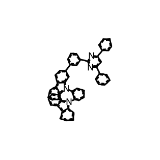 c1ccc(-c2cc(-c3ccccc3)nc(-c3cccc(-c4ccc5c6ccccc6n(-c6ccccc6-n6c7ccccc7c7ccccc76)c5c4)c3)n2)cc1